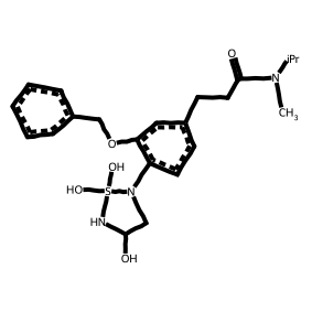 CC(C)N(C)C(=O)CCc1ccc(N2CC(O)NS2(O)O)c(OCc2ccccc2)c1